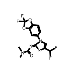 CN(C)C(=O)N=c1sc(C(F)F)cn1-c1ccc2c(c1)OC(F)(F)O2